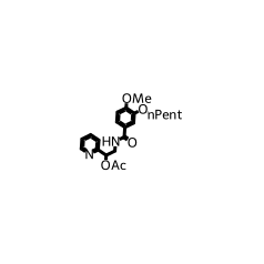 CCCCCOc1cc(C(=O)NCC(OC(C)=O)c2ccccn2)ccc1OC